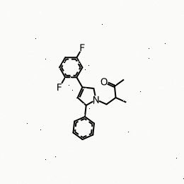 CC(=O)C(C)CN1CC(c2cc(F)ccc2F)=CC1c1ccccc1